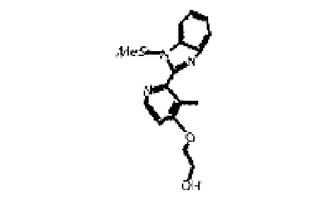 CSn1c(-c2nccc(OCCO)c2C)nc2ccccc21